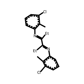 CCC(=Nc1cccc(Cl)c1C)C(CC)=Nc1cccc(Cl)c1C